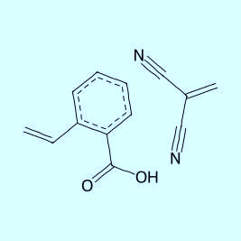 C=C(C#N)C#N.C=Cc1ccccc1C(=O)O